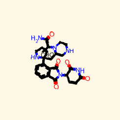 NC(=O)C(CC=O)N1CCNCC1CC1(c2cccc3c2C(=O)N(C2CCC(=O)NC2=O)C3=O)CCCN1